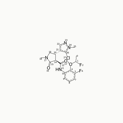 CC(F)Oc1c(F)cccc1NC(=O)[C@H]1C(=O)N(C)C[C@@H]1c1cnn(C)c1Cl